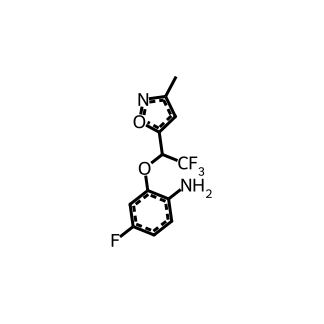 Cc1cc(C(Oc2cc(F)ccc2N)C(F)(F)F)on1